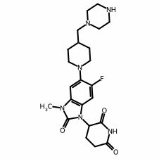 Cn1c(=O)n(C2CCC(=O)NC2=O)c2cc(F)c(N3CCC(CN4CCNCC4)CC3)cc21